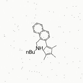 CCCCNCc1c(C2=C(C)C(C)=C(C)C2)ccc2ccccc12